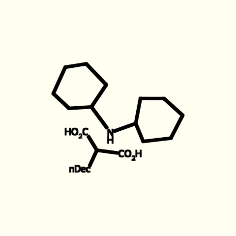 C1CCC(NC2CCCCC2)CC1.CCCCCCCCCCC(C(=O)O)C(=O)O